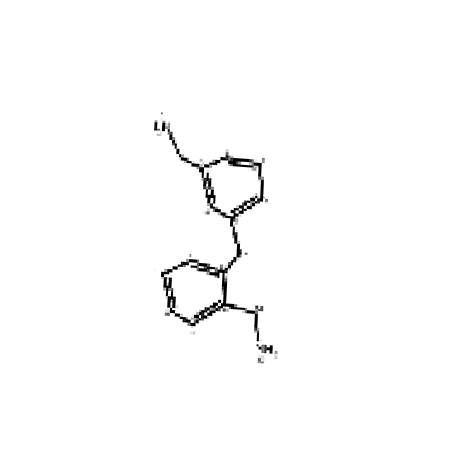 NCc1cccc(Cc2cc[c]cc2CN)c1